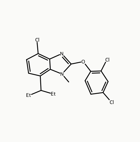 CCC(CC)c1ccc(Cl)c2nc(Oc3ccc(Cl)cc3Cl)n(C)c12